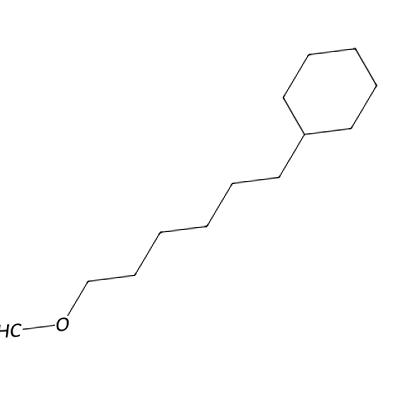 O=[C]OCCCCCCC1CCCCC1